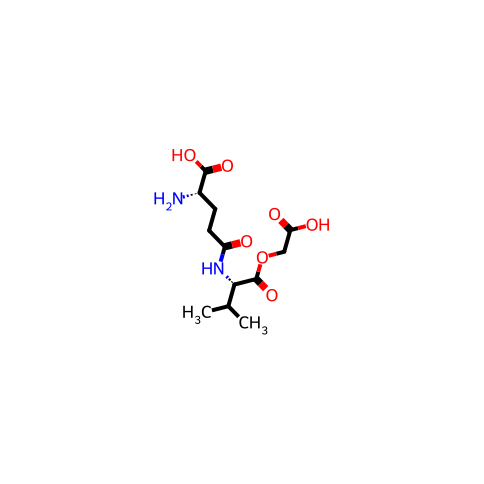 CC(C)[C@H](NC(=O)CC[C@H](N)C(=O)O)C(=O)OCC(=O)O